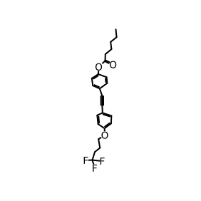 CCCCCC(=O)Oc1ccc(C#Cc2ccc(OCCCC(F)(F)F)cc2)cc1